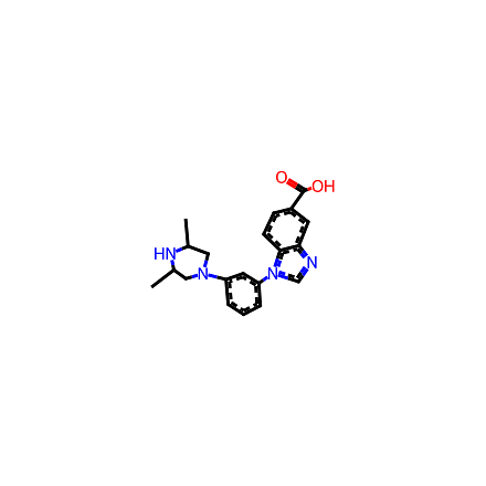 CC1CN(c2cccc(-n3cnc4cc(C(=O)O)ccc43)c2)CC(C)N1